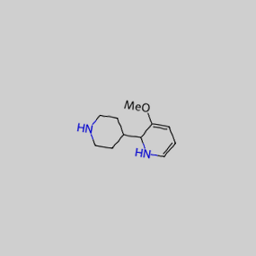 COC1=CC=CNC1C1CCNCC1